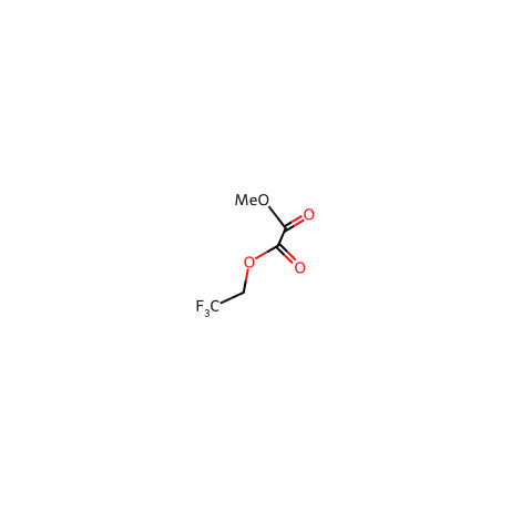 COC(=O)C(=O)OCC(F)(F)F